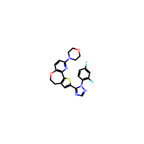 Fc1ccc(-n2ncnc2-c2cc3c(s2)-c2nc(N4CCOCC4)ccc2OCC3)c(F)c1